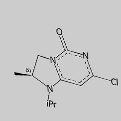 CC(C)N1c2cc(Cl)nc(=O)n2C[C@@H]1C